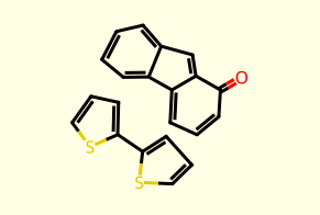 O=C1C=CC=C2C1=Cc1ccccc12.c1csc(-c2cccs2)c1